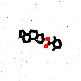 Cc1cccc(C)c1C(=O)Oc1ccc2c(ccc3c4c(ccc32)C=CC4)c1